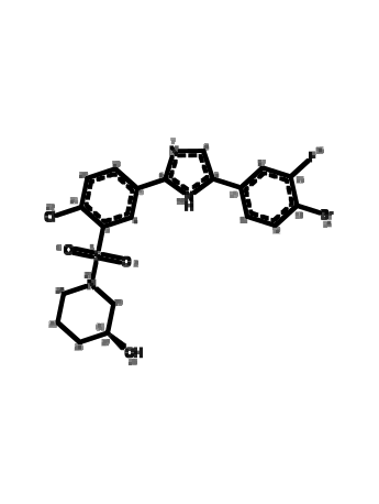 O=S(=O)(c1cc(-c2ncc(-c3ccc(Br)c(F)c3)[nH]2)ccc1Cl)N1CCC[C@H](O)C1